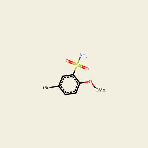 COOc1ccc(C(C)(C)C)cc1S(N)(=O)=O